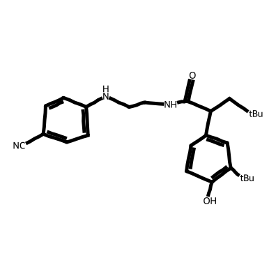 CC(C)(C)CC(C(=O)NCCNc1ccc(C#N)cc1)c1ccc(O)c(C(C)(C)C)c1